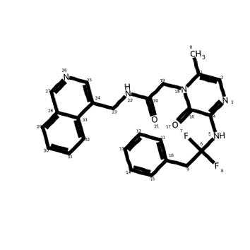 Cc1cnc(NC(F)(F)Cc2ccccc2)c(=O)n1CC(=O)NCc1cncc2ccccc12